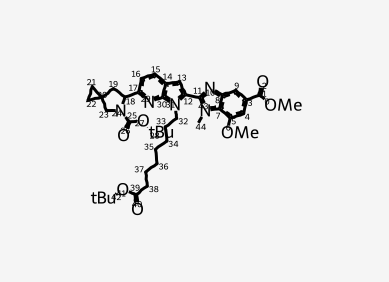 COC(=O)c1cc(OC)c2c(c1)nc(-c1cc3ccc(C4CC5(CC5)CN4C(=O)OC(C)(C)C)nc3n1CCCCCCCC(=O)OC(C)(C)C)n2C